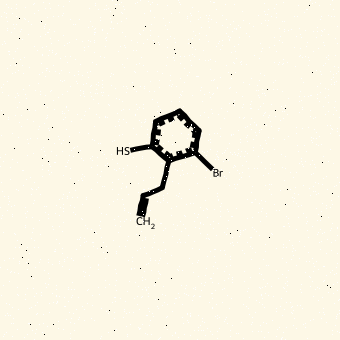 C=CCc1c(S)cccc1Br